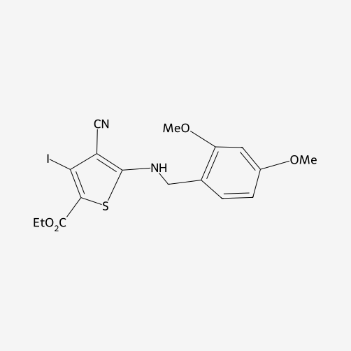 CCOC(=O)c1sc(NCc2ccc(OC)cc2OC)c(C#N)c1I